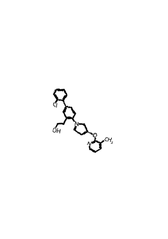 Cc1cccnc1O[C@H]1CCN(c2ccc(-c3ccccc3Cl)cc2CCO)C1